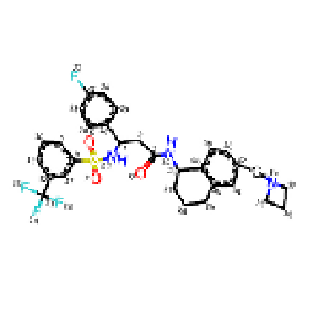 O=C(CC(NS(=O)(=O)c1cccc(C(F)(F)F)c1)c1ccc(F)cc1)NC1CCCc2cc(CN3CCC3)ccc21